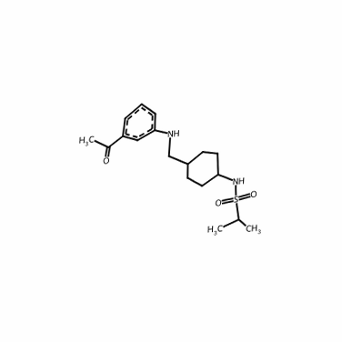 CC(=O)c1cccc(NCC2CCC(NS(=O)(=O)C(C)C)CC2)c1